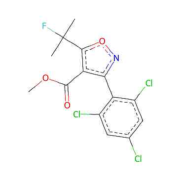 COC(=O)c1c(-c2c(Cl)cc(Cl)cc2Cl)noc1C(C)(C)F